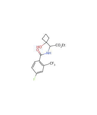 CCOC(=O)C(NC(=O)c1ccc(F)cc1C(F)(F)F)C1(O)CCC1